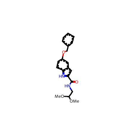 COC(CNC(=O)c1cc2cc(OCc3ccccc3)ccc2[nH]1)OC